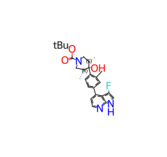 Cc1cc(-c2ccnc3[nH]cc(F)c23)ccc1C1(O)[C@H](C)CN(C(=O)OC(C)(C)C)C[C@@H]1C